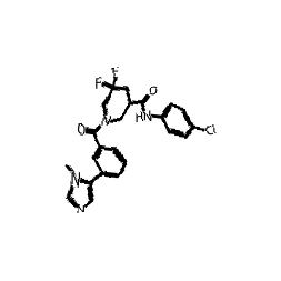 Cn1cncc1-c1cccc(C(=O)N2CC(C(=O)Nc3ccc(Cl)cc3)CC(F)(F)C2)c1